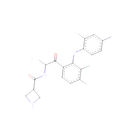 CC(NC(=O)C1CNC1)C(=O)c1ccc(F)c(F)c1Nc1ccc(I)cc1F